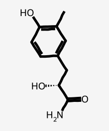 Cc1cc(C[C@@H](O)C(N)=O)ccc1O